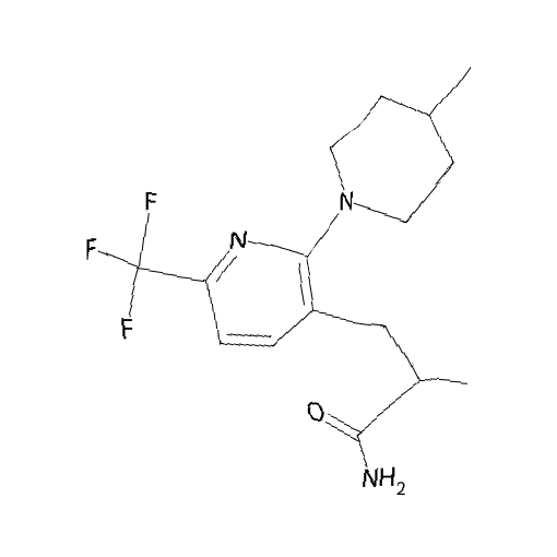 CC1CCN(c2nc(C(F)(F)F)ccc2CC(C)C(N)=O)CC1